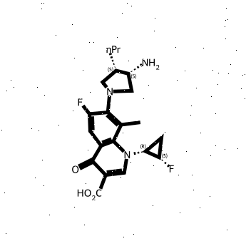 CCC[C@H]1CN(c2c(F)cc3c(=O)c(C(=O)O)cn([C@@H]4C[C@@H]4F)c3c2C)C[C@H]1N